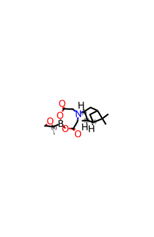 C[C@H]1[C@H](N2CC(=O)OB([C@@]3(C)CO3)OC(=O)C2)CC2C[C@H]1C2(C)C